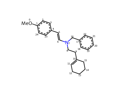 COc1ccc(C=CN(CCC2=CCCCC2)Cc2ccccc2)cc1